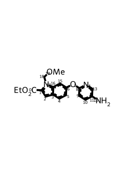 CCOC(=O)c1cc2ccc(Oc3ccc(N)cn3)cc2n1COC